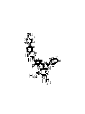 CCN1CC(C)(C)Oc2nc(N3CC4CCC(C3)O4)nc(-c3ccc(NC(=O)Nc4ccc(N5CCN(C)CC5)cc4)c(F)c3)c2C1=O